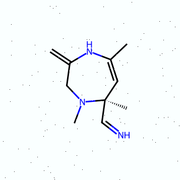 C=C1CN(C)[C@](C)(C=N)C=C(C)N1